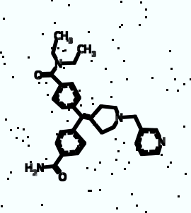 CCN(CC)C(=O)c1ccc(C(=C2CCN(Cc3cccnc3)CC2)c2ccc(C(N)=O)cc2)cc1